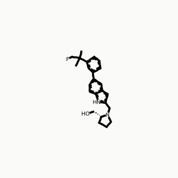 CC(C)(CF)c1cccc(-c2ccc3[nH]c(CN4CCC[C@@H]4CO)cc3c2)c1